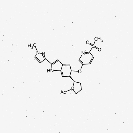 CC(=O)N1CCC[C@@H]1C1C=c2[nH]c(-c3ccn(C)n3)cc2=CC1Oc1ccc(S(C)(=O)=O)nc1